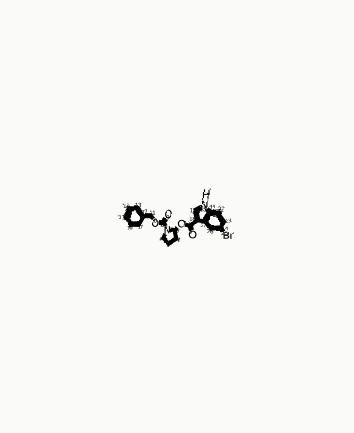 O=C(OC1CCCN1C(=O)OCc1ccccc1)c1c[nH]c2ccc(Br)cc12